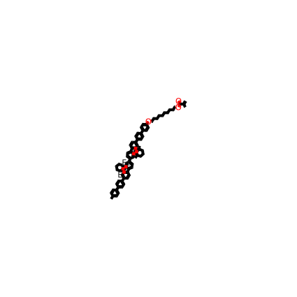 C=C(C)C(=O)OCCCCCCCCCCOc1ccc(-c2ccc(-c3ccc4c(c3)C3(c5cc(-c6ccc7c(c6)C6(c8cc(-c9ccc(-c%10ccc(C)cc%10)cc9)ccc8-7)C7(CC)CCCC6(CC)CCC7)ccc5-4)C4(C)CCCC3(C)CCC4)cc2)cc1